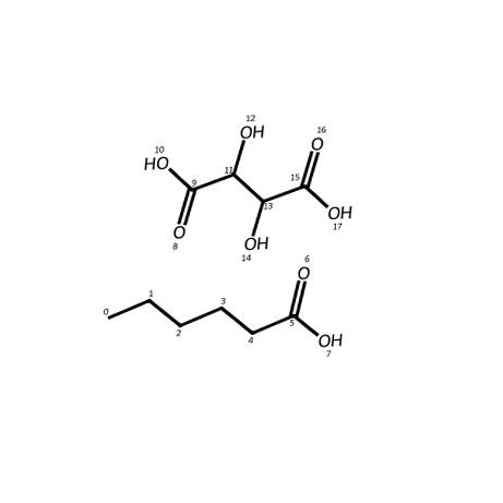 CCCCCC(=O)O.O=C(O)C(O)C(O)C(=O)O